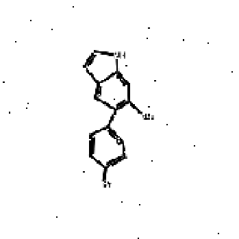 CC(C)c1ccc(-c2cc3cc[nH]c3cc2C(C)(C)C)cc1